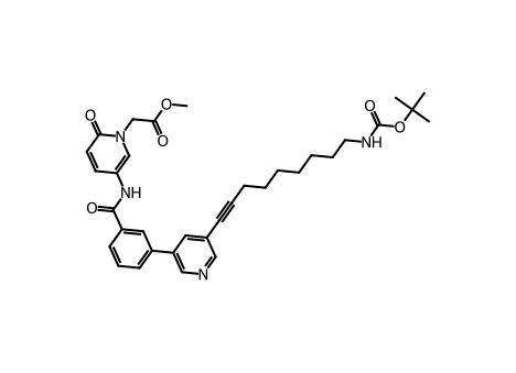 COC(=O)Cn1cc(NC(=O)c2cccc(-c3cncc(C#CCCCCCCCNC(=O)OC(C)(C)C)c3)c2)ccc1=O